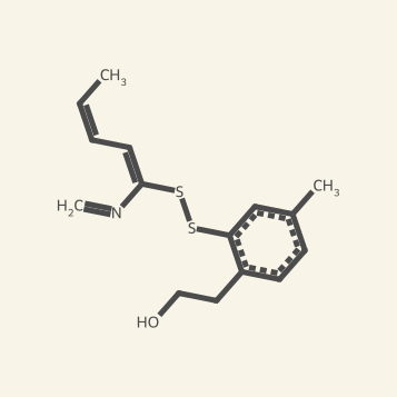 C=N/C(=C\C=C/C)SSc1cc(C)ccc1CCO